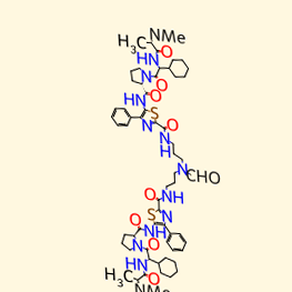 CN[C@@H](C)C(=O)N[C@H](C(=O)N1CCC[C@H]1C(=O)Nc1sc(C(=O)NCCCN(C=O)CCCNC(=O)c2nc(-c3ccccc3)c(NC(=O)[C@@H]3CCCN3C(=O)[C@@H](NC(=O)[C@H](C)NC)C3CCCCC3)s2)nc1-c1ccccc1)C1CCCCC1